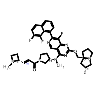 CN1CC[C@@H]1/C=C/C(=O)N1CC[C@@H](N(C)c2nc(OC[C@@]34CCCN3C[C@H](F)C4)nc3c(F)c(-c4cccc5ccc(F)c(F)c45)ncc23)C1